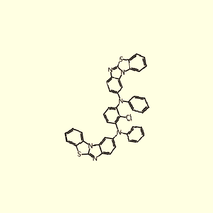 Clc1c(N(c2ccccc2)c2ccc3nc4sc5ccccc5n4c3c2)cccc1N(c1ccccc1)c1ccc2nc3sc4ccccc4n3c2c1